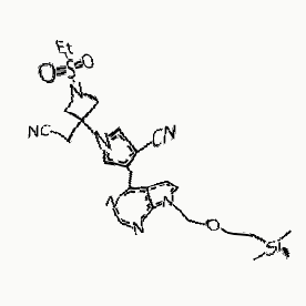 CCS(=O)(=O)N1CC(CC#N)(n2cc(C#N)c(-c3ncnc4c3ccn4COCC[Si](C)(C)C)c2)C1